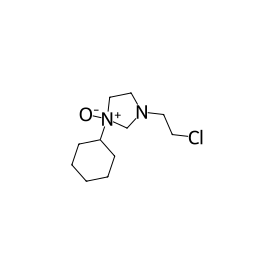 [O-][N+]1(C2CCCCC2)CCN(CCCl)C1